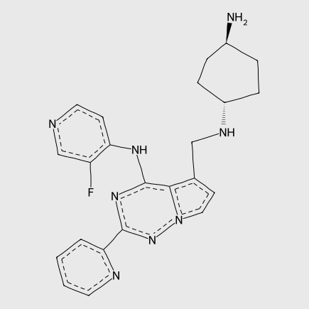 N[C@H]1CC[C@H](NCc2ccn3nc(-c4ccccn4)nc(Nc4ccncc4F)c23)CC1